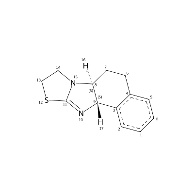 c1ccc2c(c1)CC[C@H]1[C@H]2N=C2SCCN21